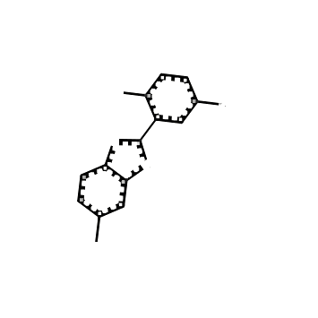 Cc1ccc2oc(-c3cc([N+](=O)[O-])ccc3F)nc2c1